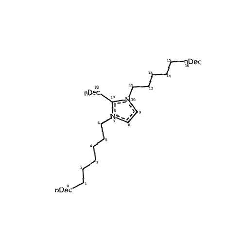 CCCCCCCCCCCCCCCC[n+]1ccn(CCCCCCCCCCCCCCC)c1CCCCCCCCCC